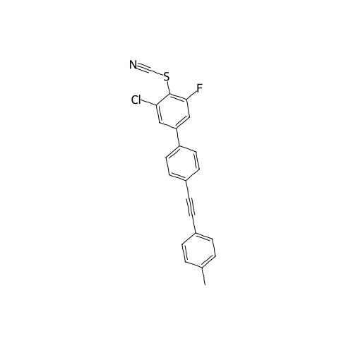 Cc1ccc(C#Cc2ccc(-c3cc(F)c(SC#N)c(Cl)c3)cc2)cc1